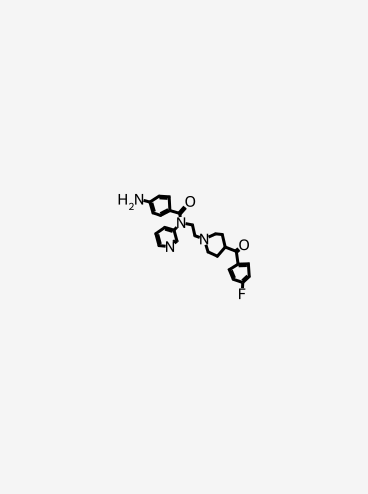 Nc1ccc(C(=O)N(CCN2CCC(C(=O)c3ccc(F)cc3)CC2)c2cccnc2)cc1